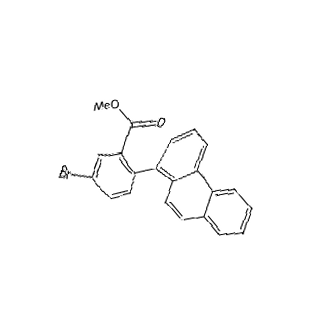 COC(=O)c1cc(Br)ccc1-c1cccc2c1ccc1ccccc12